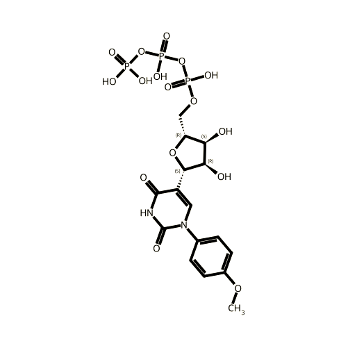 COc1ccc(-n2cc([C@@H]3O[C@H](COP(=O)(O)OP(=O)(O)OP(=O)(O)O)[C@@H](O)[C@H]3O)c(=O)[nH]c2=O)cc1